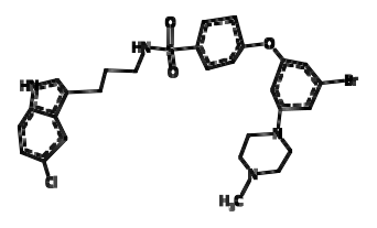 CN1CCN(c2cc(Br)cc(Oc3ccc(S(=O)(=O)NCCCc4c[nH]c5ccc(Cl)cc45)cc3)c2)CC1